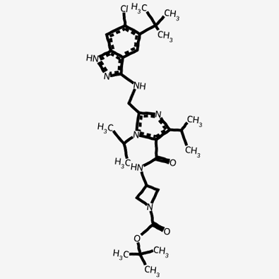 CC(C)c1nc(CNc2n[nH]c3cc(Cl)c(C(C)(C)C)cc23)n(C(C)C)c1C(=O)NC1CN(C(=O)OC(C)(C)C)C1